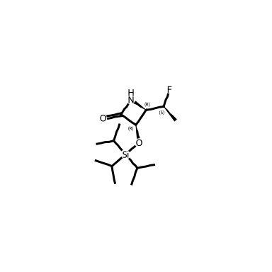 CC(C)[Si](O[C@H]1C(=O)N[C@H]1[C@H](C)F)(C(C)C)C(C)C